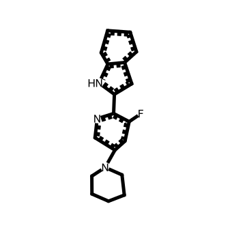 Fc1cc(N2CCCCC2)cnc1-c1cc2ccccc2[nH]1